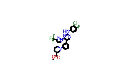 COC(=O)C1CCCN(c2cccc(-c3cnc(Nc4ccc(F)c(Cl)c4)nc3-n3ccc(C(F)(F)F)n3)c2)C1